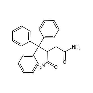 NC(=O)CC(C(N)=O)C(c1ccccc1)(c1ccccc1)c1ccccc1